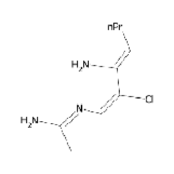 CCC/C=C(N)/C(Cl)=C\N=C(/C)N